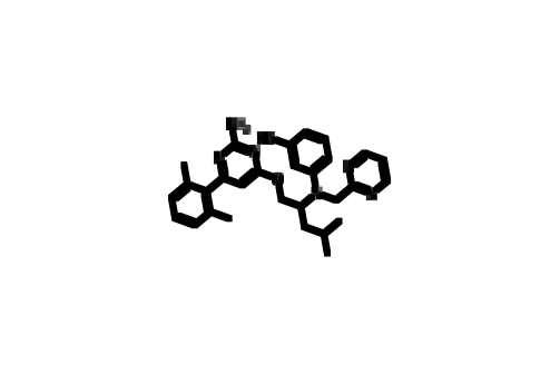 Cc1cccc(C)c1-c1cc(OCC(CC(C)C)N(Cc2ncccn2)c2cccc(S)c2)nc(N)n1